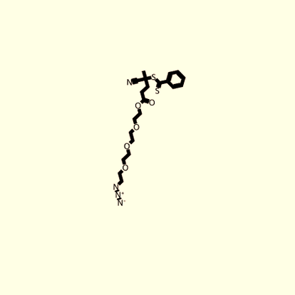 CC(C#N)(CCC(=O)OCCOCCOCCOCCN=[N+]=[N-])SC(=S)c1ccccc1